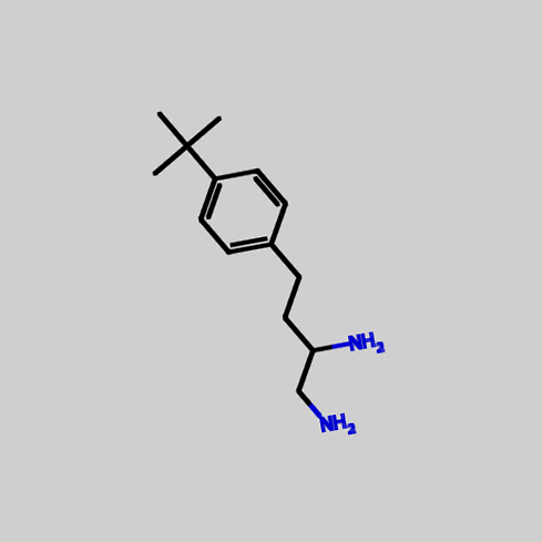 CC(C)(C)c1ccc(CCC(N)CN)cc1